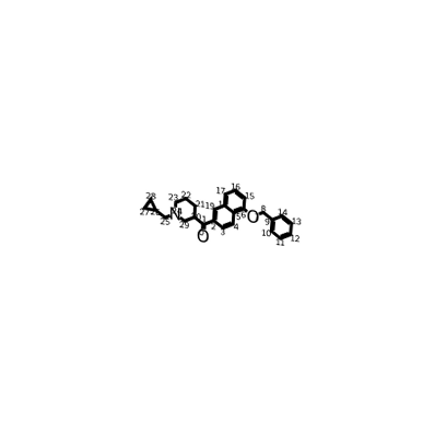 O=C(c1ccc2c(OCc3ccccc3)cccc2c1)C1CCCN(CC2CC2)C1